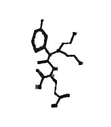 O=C(O)CC[C@H](NC(=O)N(c1cccc(F)c1)N(CCBr)CCBr)C(=O)O